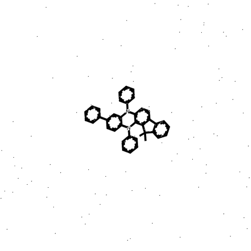 CC1(C)c2ccccc2-c2ccc3c(c21)N(c1ccccc1)c1ccc(-c2ccccc2)cc1N3c1ccccc1